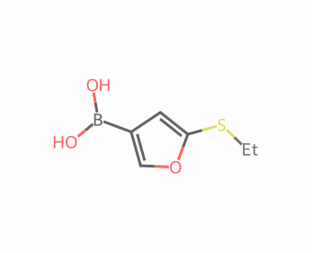 CCSc1cc(B(O)O)co1